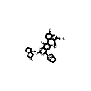 C[C@H]1CN2CCC[C@@]2(COc2nc(N3CC4CCC(C3)N4)c3cc(Cl)c(-c4ccc(F)c5sc(N)c(C#N)c45)c(F)c3n2)C1